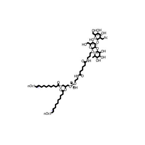 CCCCCCCC/C=C/CCCCCCCC(=O)OCC(COP(=O)(O)OCCNC(=O)CCCCC(=O)NCCCO[C@@H]1OC(CO)[C@H](O)[C@H](O[C@@H]2OC(CO)[C@H](O)[C@H](O)C2CC(C)=O)C1O[C@@H]1OC(C)[C@@H](O)[C@H](O)C1O)OC(=O)CCCCCCC/C=C/CCCCCCCC